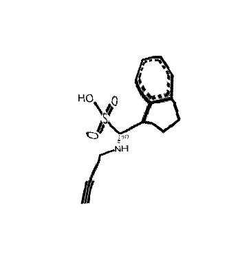 C#CCN[C@@H](C1CCc2ccccc21)S(=O)(=O)O